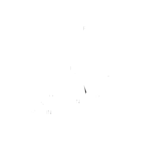 CS(=O)(=O)N[C@H]1CCN(C(=O)[C@H]2C[C@@H]2c2c(F)cccc2-c2c(F)cccc2F)C1